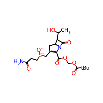 CC(O)C1C(=O)N2C(C(=O)OCOC(=O)C(C)(C)C)=C(C[S+]([O-])CCC(N)=O)CC12